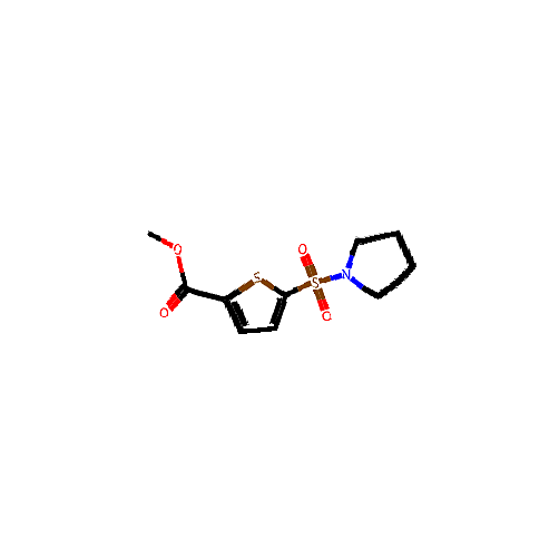 COC(=O)c1ccc(S(=O)(=O)N2CCCC2)s1